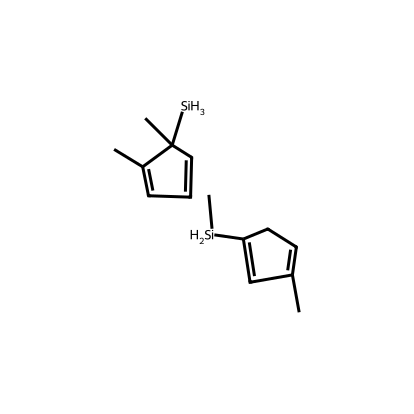 CC1=CC=CC1(C)[SiH3].C[SiH2]C1=CC(C)=CC1